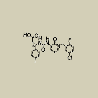 Cc1ccc([C@H](CC(=O)O)NC(=O)Nc2cccn(Cc3cc(Cl)ccc3F)c2=O)cc1